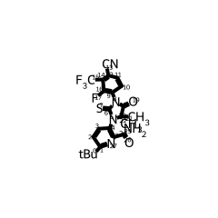 CC(C)(C)c1ccc(N2C(=S)N(c3ccc(C#N)c(C(F)(F)F)c3F)C(=O)C2(C)C)c(C(N)=O)n1